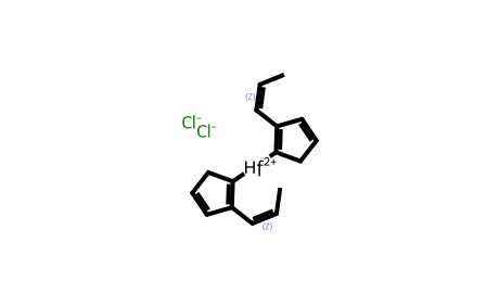 C/C=C\C1=[C]([Hf+2][C]2=C(/C=C\C)C=CC2)CC=C1.[Cl-].[Cl-]